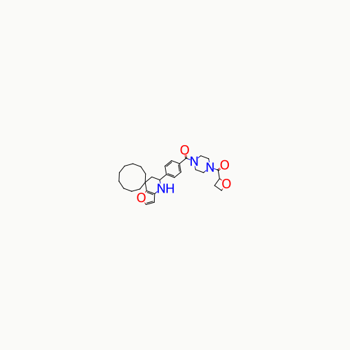 O=C(c1ccc(C2CC3(CCCCCCCCC3)c3occc3N2)cc1)N1CCN(C(=O)C2CCO2)CC1